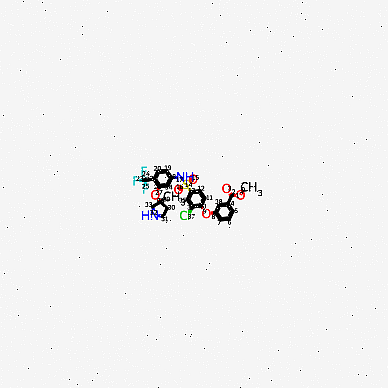 COC(=O)c1cccc(Oc2ccc(S(=O)(=O)Nc3ccc(C(F)(F)F)c(O[C@]4(C)CCNC4)c3)cc2Cl)c1